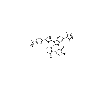 Cc1noc(C)c1-c1ccc2c(c1)nc(C1CCCC(=O)N1c1ccc(F)c(F)c1)n2-c1nc(-c2ccc([S+](C)[O-])cc2)cs1